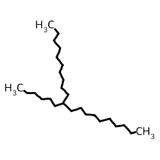 CCCCCCCCCCC(CCCCCC)CCCCCCCCCC